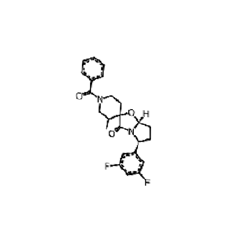 CC1CN(C(=O)c2ccccc2)CCC12O[C@@H]1CC[C@@H](c3cc(F)cc(F)c3)N1C2=O